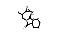 CC(CN1C(=O)C2CCCCC2C1=O)C1OC1C